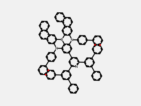 c1ccc(-c2ccc(N3c4cc5ccc6ccccc6c5cc4B4c5cc6c(ccc7ccccc76)cc5N(c5ccc(-c6ccccc6)cc5)c5cc(-c6cc(-c7cc(-c8ccccc8)cc(-c8ccccc8)c7)nc(-c7cc(-c8ccccc8)cc(-c8ccccc8)c7)c6)cc3c54)cc2)cc1